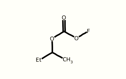 CCC(C)OC(=O)OF